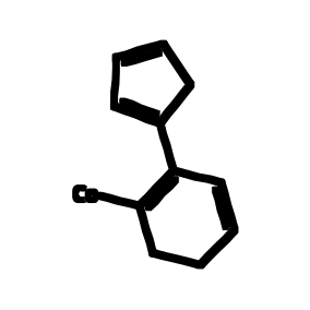 [Co][C]1=C(C2=CC=CC2)C=CCC1